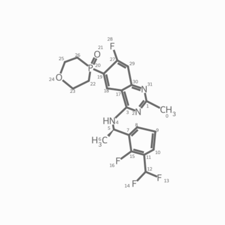 Cc1nc(N[C@H](C)c2cccc(C(F)F)c2F)c2cc(P3(=O)CCOCC3)c(F)cc2n1